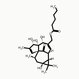 CCCCCC(=O)OCC1=C[C@@H]2C(=O)[C@]3(C=C(C)[C@H](O)[C@@]3(O)[C@@H]1O)[C@H](C)C[C@]1(O)[C@H]2C1(C)C